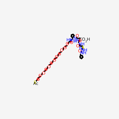 CC(=O)SCCOCCOCCOCCOCCOCCOCCOCCOCCOCCOCCOCCOCCC(=O)NCc1ccccc1NC(=O)C(CC(=O)O)NC(=O)CNC(=O)c1csc(NC(=O)NCc2ccccc2)n1